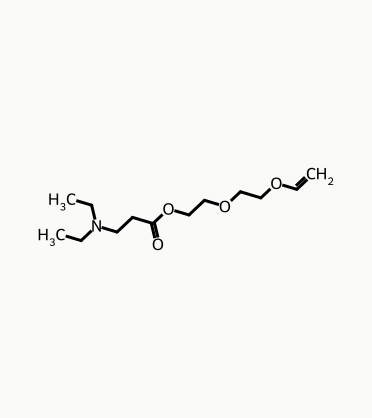 C=COCCOCCOC(=O)CCN(CC)CC